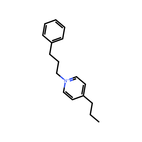 CCCc1cc[n+](CCCc2ccccc2)cc1